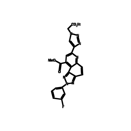 CCOC(=O)Cn1cc(-c2cc(C(=O)OC)c3c(ccc4nn(-c5cccc(F)c5)nc43)n2)nn1